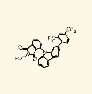 CN1C(=O)c2cccc(-n3c4ccccc4c4ccc(-c5ccc(C(F)(F)F)cc5C(F)(F)F)cc43)c2C1=O